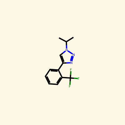 CC(C)n1cc(-c2ccccc2C(F)(F)F)nn1